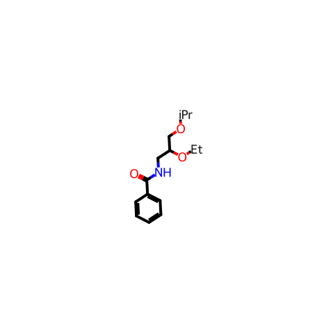 CCOC(CNC(=O)c1ccccc1)COC(C)C